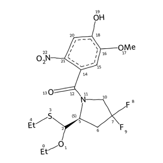 CCOC(SCC)[C@@H]1CC(F)(F)CN1C(=O)c1cc(OC)c(O)cc1[N+](=O)[O-]